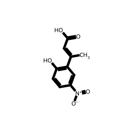 CC(=CC(=O)O)c1cc([N+](=O)[O-])ccc1O